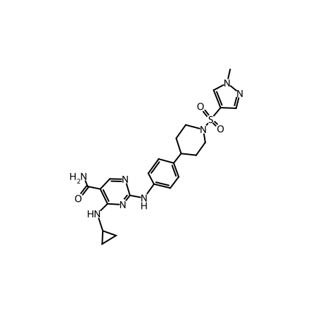 Cn1cc(S(=O)(=O)N2CCC(c3ccc(Nc4ncc(C(N)=O)c(NC5CC5)n4)cc3)CC2)cn1